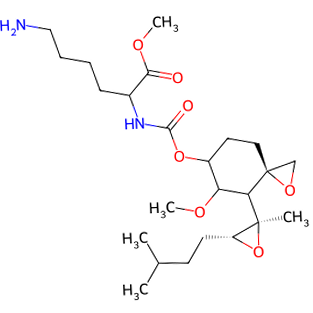 COC(=O)C(CCCCN)NC(=O)OC1CC[C@]2(CO2)C([C@@]2(C)O[C@@H]2CCC(C)C)C1OC